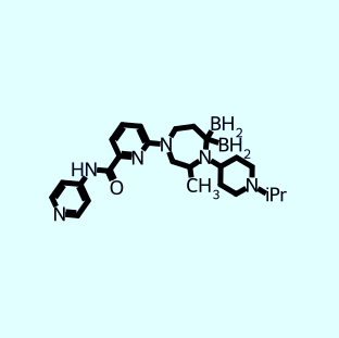 BC1(B)CCN(c2cccc(C(=O)Nc3ccncc3)n2)CC(C)N1C1CCN(C(C)C)CC1